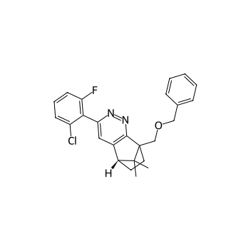 CC1(C)[C@@H]2CCC1(COCc1ccccc1)c1nnc(-c3c(F)cccc3Cl)cc12